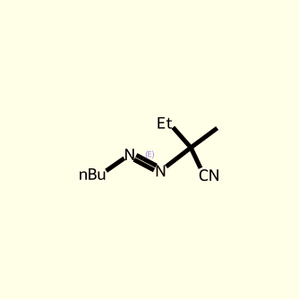 CCCC/N=N/C(C)(C#N)CC